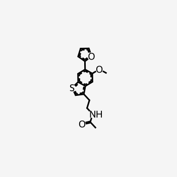 COc1cc2c(CCNC(C)=O)csc2cc1-c1ccco1